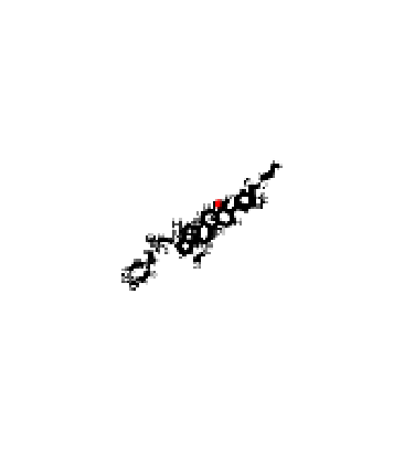 CCCCOC(=O)[C@@]1(CF)CC=C(C2=CC[C@]3(C)[C@H]4CC[C@@H]5[C@H]6[C@H](C(C)C)CC[C@]6(NCCS(=O)(=O)CCN6CCS(=O)(=O)CC6)CC[C@@]5(C)[C@]4(C)CC[C@H]3C2(C)C)CC1